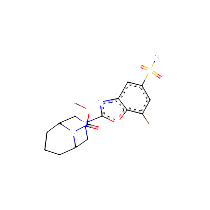 CC(C)(C)OC(=O)N1C2CCCC1CN(c1nc3cc(S(N)(=O)=O)cc(Br)c3o1)C2